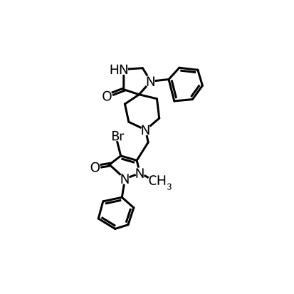 Cn1c(CN2CCC3(CC2)C(=O)NCN3c2ccccc2)c(Br)c(=O)n1-c1ccccc1